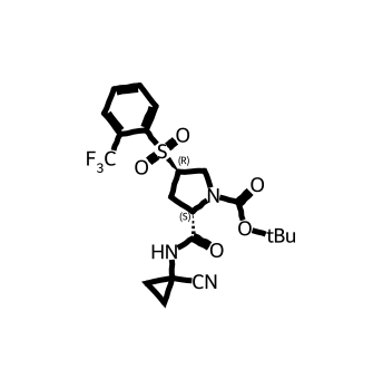 CC(C)(C)OC(=O)N1C[C@H](S(=O)(=O)c2ccccc2C(F)(F)F)C[C@H]1C(=O)NC1(C#N)CC1